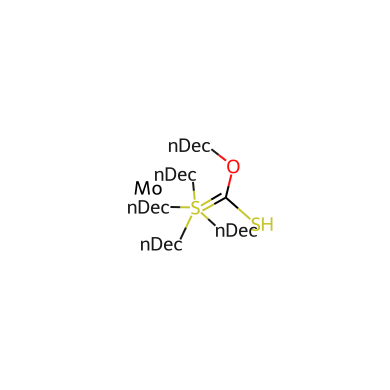 CCCCCCCCCCOC(S)=S(CCCCCCCCCC)(CCCCCCCCCC)(CCCCCCCCCC)CCCCCCCCCC.[Mo]